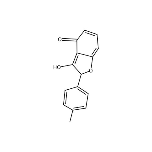 Cc1ccc(C2OC3=CC=CC(=O)C3=C2O)cc1